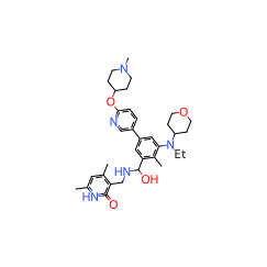 CCN(c1cc(-c2ccc(OC3CCN(C)CC3)nc2)cc(C(O)NCc2c(C)cc(C)[nH]c2=O)c1C)C1CCOCC1